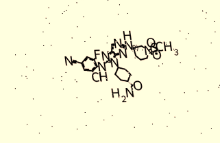 CS(=O)(=O)N1CCC[C@@H](Nc2ncc3nc(Nc4c(F)cc(C#N)cc4Cl)n([C@H]4CC[C@@H](C(N)=O)CC4)c3n2)C1